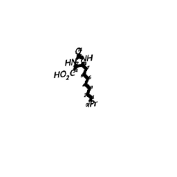 CC(C)CCCCCCCC1NC(=O)NC1C(=O)O